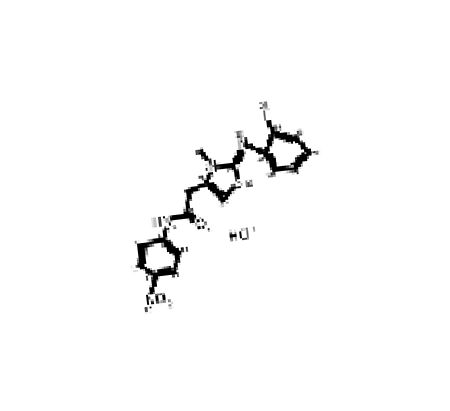 Cl.Cn1c(CC(=O)Nc2ccc([N+](=O)[O-])cc2)csc1=Nc1ccccc1F